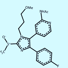 COCCCn1c([S+](C)[O-])nc(-c2ccc(F)cc2)c1-c1ccnc(NC(C)=O)c1